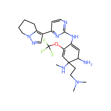 CNC1(CCN(C)C)C=C(OC(F)(F)F)C(Nc2nccc(-c3cnn4c3CCCC4)n2)=CC1N